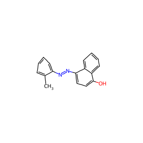 Cc1ccccc1N=Nc1ccc(O)c2ccccc12